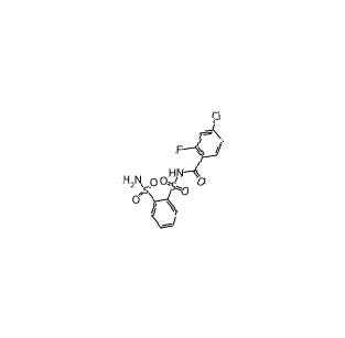 NS(=O)(=O)c1ccccc1S(=O)(=O)NC(=O)c1ccc(Cl)cc1F